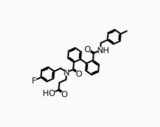 Cc1ccc(CNC(=O)c2ccccc2-c2ccccc2C(=O)N(CCC(=O)O)Cc2ccc(F)cc2)cc1